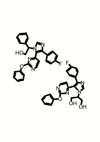 OCC(CO)n1cnc(-c2ccc(F)cc2)c1-c1ccnc(Oc2ccccc2)n1.OCC(c1ccccc1)n1cnc(-c2ccc(F)cc2)c1-c1ccnc(Oc2ccccc2)n1